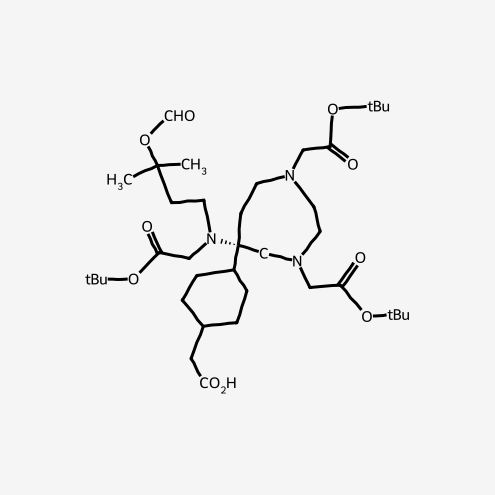 CC(C)(C)OC(=O)CN1CCN(CC(=O)OC(C)(C)C)C[C@](C2CCC(CC(=O)O)CC2)(N(CCC(C)(C)OC=O)CC(=O)OC(C)(C)C)CC1